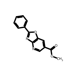 COC(=O)c1cnc2nc(-c3ccccc3)oc2c1